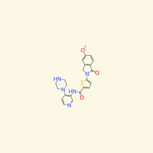 COc1ccc2c(c1)CN(c1ccc(C(=O)Nc3cnccc3N3CCNCC3)s1)C2=O